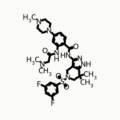 CN(C)CC(=O)Nc1cc(N2CCN(C)CC2)ccc1C(=O)Nc1n[nH]c2c1CN(S(=O)(=O)c1cc(F)cc(F)c1)CC2(C)C